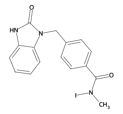 CN(I)C(=O)c1ccc(Cn2c(=O)[nH]c3ccccc32)cc1